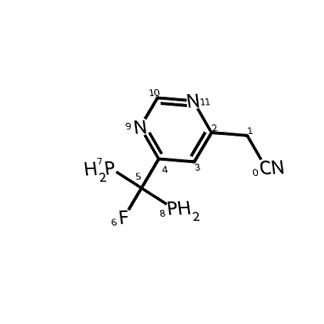 N#CCc1cc(C(F)(P)P)ncn1